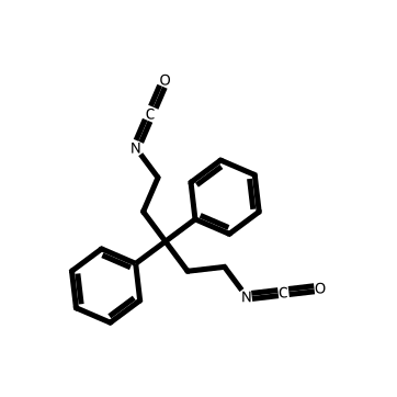 O=C=NCCC(CCN=C=O)(c1ccccc1)c1ccccc1